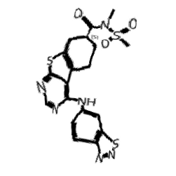 CN(C(=O)[C@H]1CCc2c(sc3ncnc(Nc4ccc5nnsc5c4)c23)C1)S(C)(=O)=O